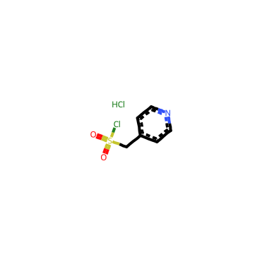 Cl.O=S(=O)(Cl)Cc1ccncc1